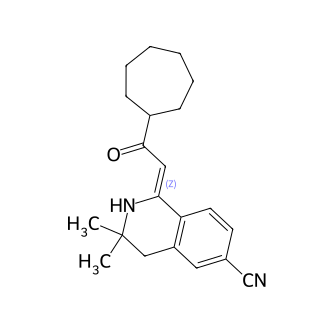 CC1(C)Cc2cc(C#N)ccc2/C(=C/C(=O)C2CCCCCC2)N1